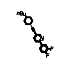 CCCC[C@H]1CC[C@H](C#Cc2ccc(-c3ccc(F)c(F)c3)nc2)CC1